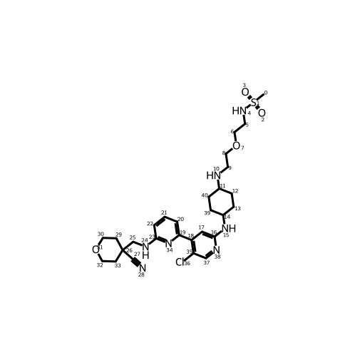 CS(=O)(=O)NCCOCCNC1CCC(Nc2cc(-c3cccc(NCC4(C#N)CCOCC4)n3)c(Cl)cn2)CC1